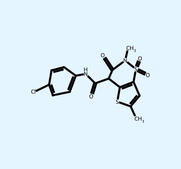 Cc1cc2c(s1)C(C(=O)Nc1ccc(Cl)cc1)C(=O)N(C)S2(=O)=O